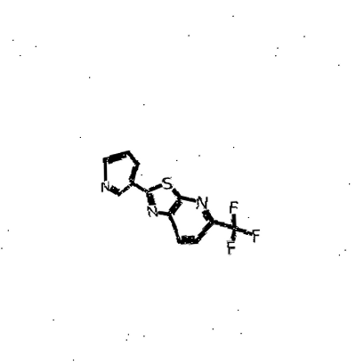 FC(F)(F)c1ccc2nc(-c3cccnc3)sc2n1